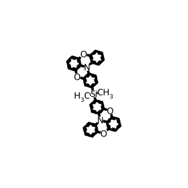 C[Si](C)(c1ccc2c(c1)Oc1cccc3c1N2c1ccccc1O3)c1ccc2c(c1)Oc1cccc3c1N2c1ccccc1O3